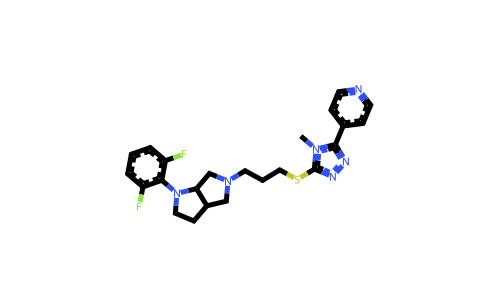 Cn1c(SCCCN2CC3CCN(c4c(F)cccc4F)C3C2)nnc1-c1ccncc1